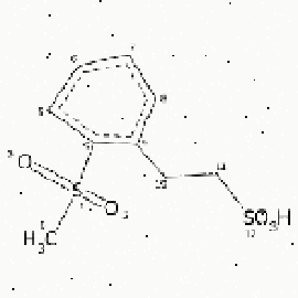 CS(=O)(=O)c1ccccc1CCS(=O)(=O)O